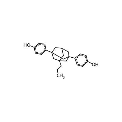 CCCC12CC3CC(c4ccc(O)cc4)(C1)CC(c1ccc(O)cc1)(C3)C2